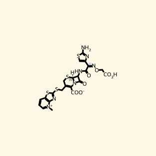 C[n+]1cccc2sc(SCC3=C(C(=O)[O-])N4C(=O)C(NC(=O)/C(=N\OCC(=O)O)c5csc(N)n5)[C@@H]4SC3)nc21